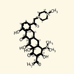 CN1CCN(CC(=O)c2ccc(O)c3c2CC2CC4C(N(C)C)C(O)=C(C(N)=O)C(=O)C4(O)C(O)=C2C3=O)CC1